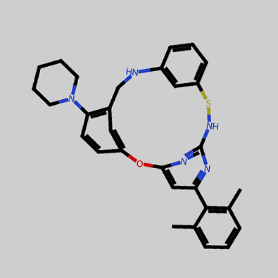 Cc1cccc(C)c1-c1cc2nc(n1)NSc1cccc(c1)NCc1cc(ccc1N1CCCCC1)O2